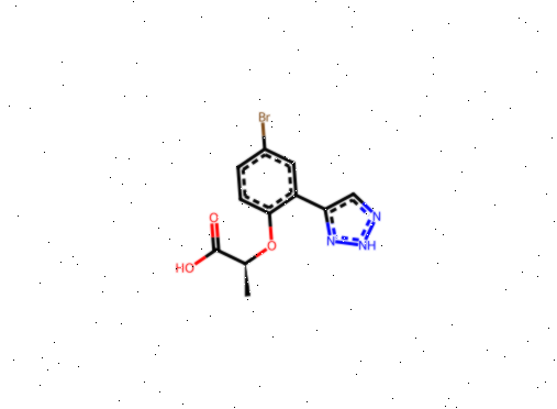 C[C@H](Oc1ccc(Br)cc1-c1cn[nH]n1)C(=O)O